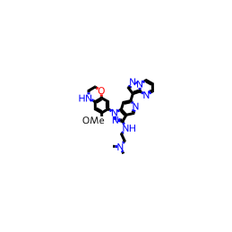 COc1cc2c(cc1-n1nc(NCCN(C)C)c3cnc(-c4cnn5cccnc45)cc31)OCCN2